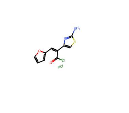 Cl.Nc1nc(C(=Cc2ccco2)C(=O)Cl)cs1